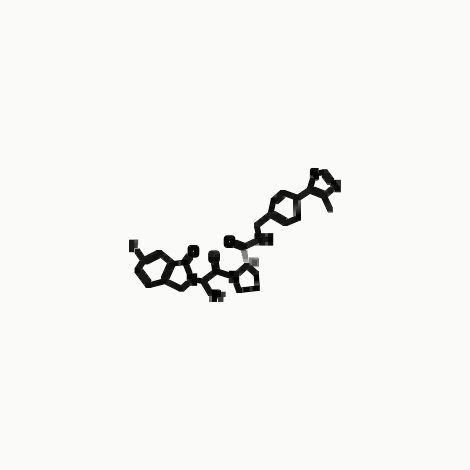 Cc1ncsc1-c1ccc(CNC(=O)[C@@H]2CCCN2C(=O)C(C(C)C)N2Cc3ccc(F)cc3C2=O)cc1